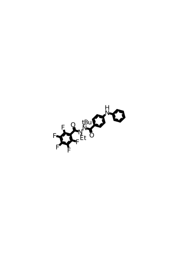 CCN(C(=O)c1c(F)c(F)c(F)c(F)c1F)N(C(=O)c1ccc(Nc2ccccc2)cc1)C(C)(C)C